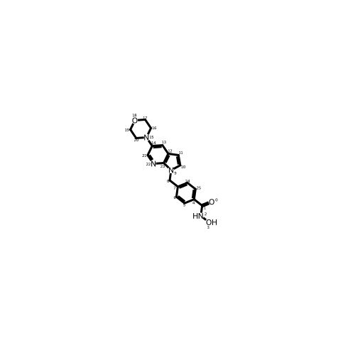 O=C(NO)c1ccc(Cn2ccc3cc(N4CCOCC4)cnc32)cc1